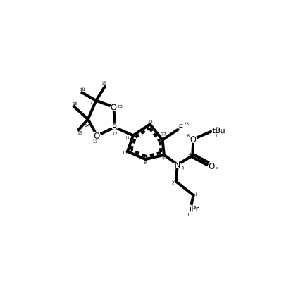 CC(C)CCN(C(=O)OC(C)(C)C)c1ccc(B2OC(C)(C)C(C)(C)O2)cc1F